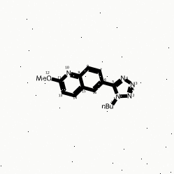 CCCCn1nnnc1-c1ccc2nc(OC)ccc2c1